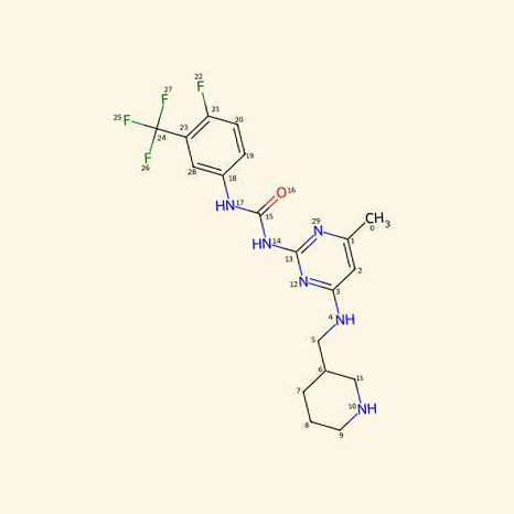 Cc1cc(NCC2CCCNC2)nc(NC(=O)Nc2ccc(F)c(C(F)(F)F)c2)n1